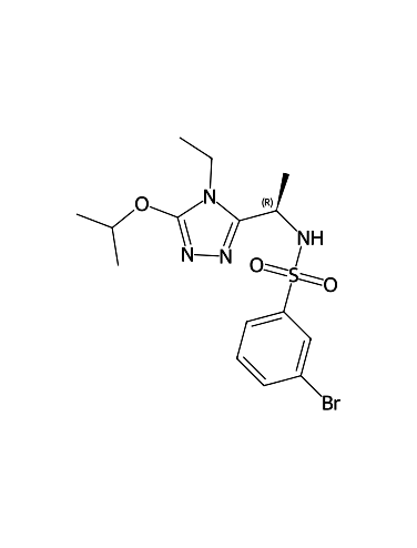 CCn1c(OC(C)C)nnc1[C@@H](C)NS(=O)(=O)c1cccc(Br)c1